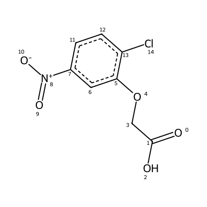 O=C(O)COc1cc([N+](=O)[O-])ccc1Cl